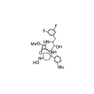 COc1c(NC(Cc2cc(F)cc(F)c2)C(O)CNC2(c3cccc(C(C)(C)C)c3)CCC(=NO)CC2)c(=O)c1=O